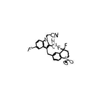 Cc1c(Cc2ccc3c(c2)C(F)(F)CCS3(=O)=O)c2cc(F)ccc2n1CC#N